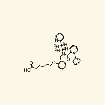 [2H]C([2H])(c1ccccn1)C([2H])([2H])N(Cc1ccccc1OCCCCCC(=O)O)C(=O)c1ccccc1-c1cccs1